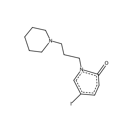 O=c1ccc(I)cn1CCCN1CCCCC1